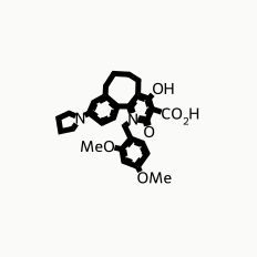 COc1ccc(Cn2c3c(c(O)c(C(=O)O)c2=O)CCCCc2cc(N4CCCC4)ccc2-3)c(OC)c1